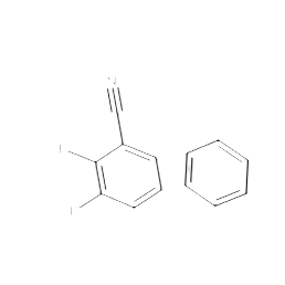 N#Cc1cccc(F)c1F.c1ccccc1